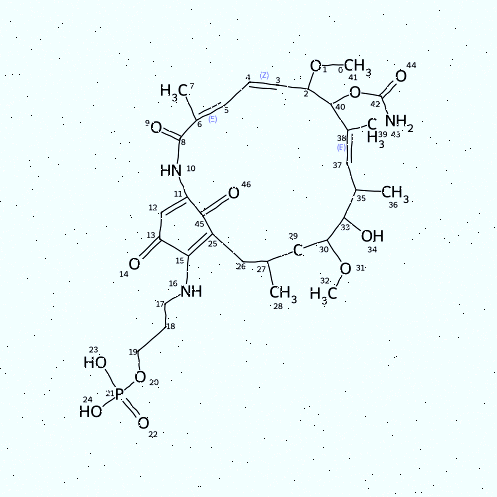 COC1/C=C\C=C(/C)C(=O)NC2=CC(=O)C(NCCCOP(=O)(O)O)=C(CC(C)CC(OC)C(O)C(C)/C=C(\C)C1OC(N)=O)C2=O